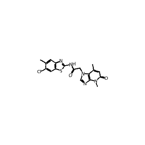 Cc1cc2nc(NC(=O)Cn3cnc4c3c(C)cc(=O)n4C)sc2cc1Cl